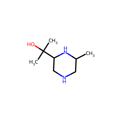 CC1CNCC(C(C)(C)O)N1